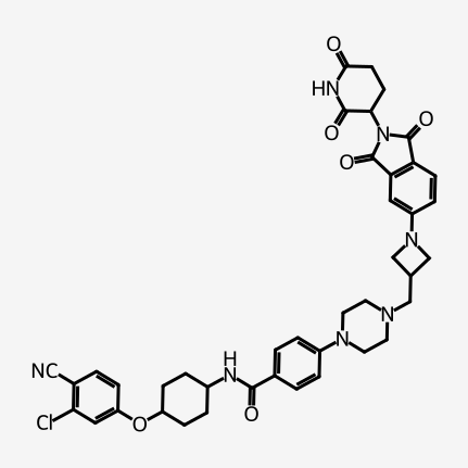 N#Cc1ccc(OC2CCC(NC(=O)c3ccc(N4CCN(CC5CN(c6ccc7c(c6)C(=O)N(C6CCC(=O)NC6=O)C7=O)C5)CC4)cc3)CC2)cc1Cl